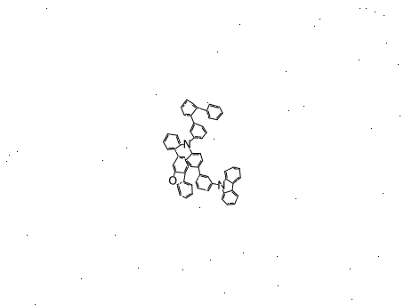 c1ccc(-c2ccccc2-c2cccc(N(c3ccc(-c4cccc(-n5c6ccccc6c6ccccc65)c4)cc3)c3ccccc3-c3ccc4c(c3)oc3ccccc34)c2)cc1